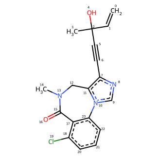 C=CC(C)(O)C#Cc1ncn2c1CN(C)C(=O)c1c(Cl)cccc1-2